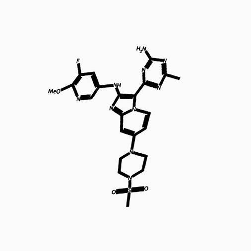 COc1ncc(Nc2nc3cc(N4CCN(S(C)(=O)=O)CC4)ccn3c2-c2nc(C)nc(N)n2)cc1F